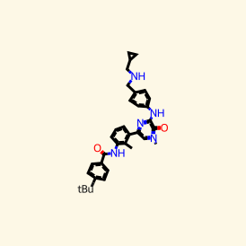 Cc1c(NC(=O)c2ccc(C(C)(C)C)cc2)cccc1-c1cn(C)c(=O)c(Nc2ccc(CNCC3CC3)cc2)n1